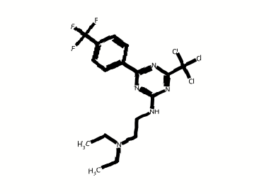 CCN(CC)CCNc1nc(-c2ccc(C(F)(F)F)cc2)nc(C(Cl)(Cl)Cl)n1